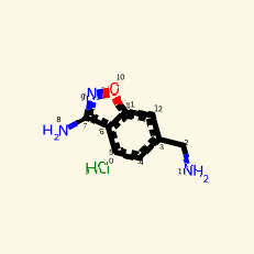 Cl.NCc1ccc2c(N)noc2c1